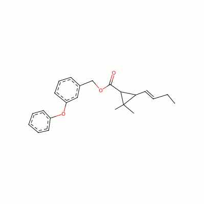 CCC=CC1C(C(=O)OCc2cccc(Oc3ccccc3)c2)C1(C)C